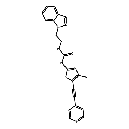 Cc1nc(NC(=O)NCCn2nnc3ccccc32)sc1C#Cc1ccncc1